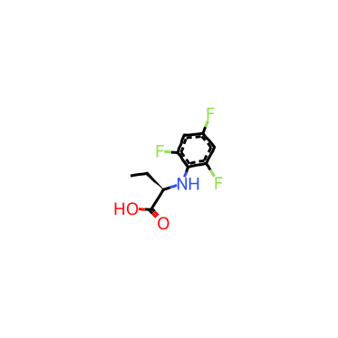 CC[C@@H](Nc1c(F)cc(F)cc1F)C(=O)O